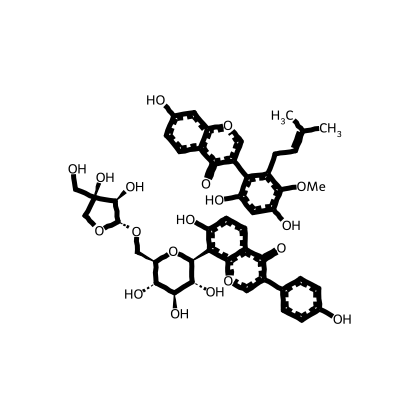 COc1c(O)cc(O)c(-c2coc3cc(O)ccc3c2=O)c1CC=C(C)C.O=c1c(-c2ccc(O)cc2)coc2c([C@@H]3O[C@H](CO[C@@H]4OC[C@](O)(CO)[C@H]4O)[C@@H](O)[C@H](O)[C@H]3O)c(O)ccc12